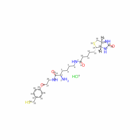 Cl.N[C@H](CCCCNC(=O)CCCC[C@@H]1SC[C@@H]2NC(=O)N[C@@H]21)C(=O)NCCOc1ccc(CS)cc1